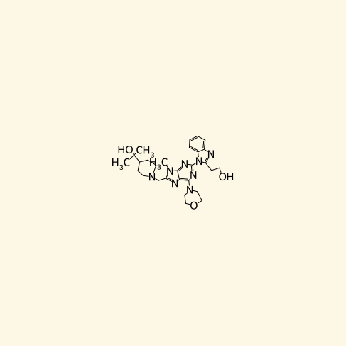 Cn1c(CN2CCC(C(C)(C)O)CC2)nc2c(N3CCOCC3)nc(-n3c(CCO)nc4ccccc43)nc21